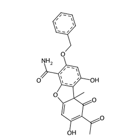 CC(=O)C1=C(O)C=C2Oc3c(C(N)=O)c(OCc4ccccc4)cc(O)c3C2(C)C1=O